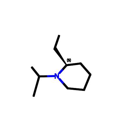 CC[C@H]1CCCCN1C(C)C